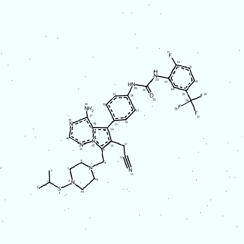 CC(C)SN1CCN(Cc2c(CC#N)c(-c3ccc(NC(=O)Nc4cc(C(F)(F)F)ccc4F)cc3)c3c(N)ncnn23)CC1